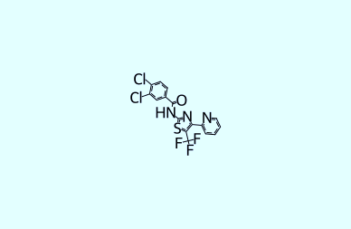 O=C(Nc1nc(-c2ccccn2)c(C(F)(F)F)s1)c1ccc(Cl)c(Cl)c1